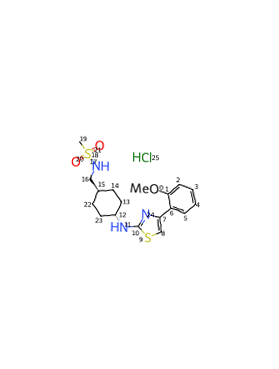 COc1ccccc1-c1csc(N[C@H]2CC[C@H](CNS(C)(=O)=O)CC2)n1.Cl